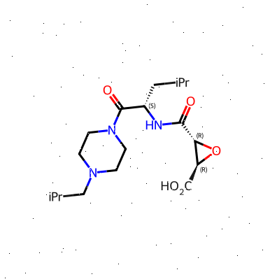 CC(C)C[C@H](NC(=O)[C@@H]1O[C@H]1C(=O)O)C(=O)N1CCN(CC(C)C)CC1